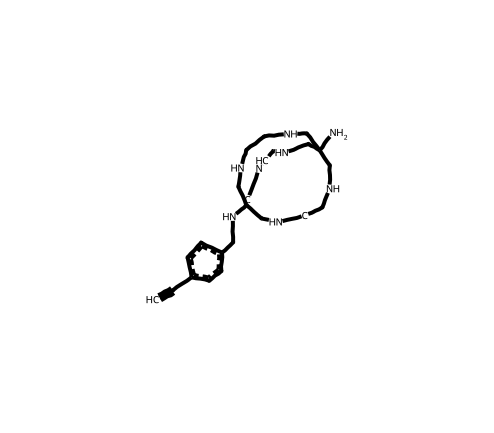 C#Cc1ccc(CNC23CNCCNCC(N)(CNCCNC2)CNCCNC3)cc1